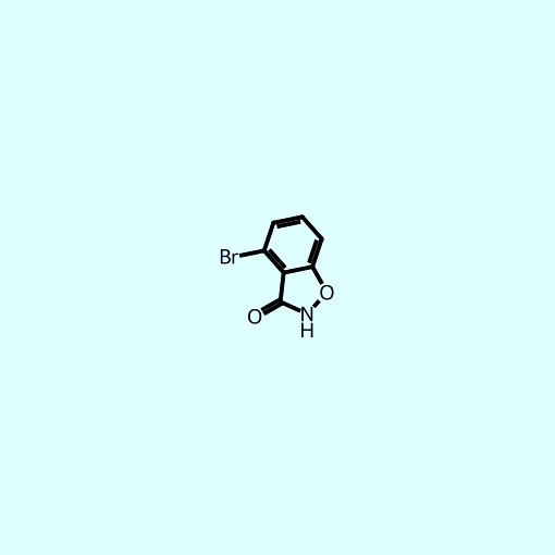 O=c1[nH]oc2cccc(Br)c12